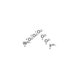 [Ir+4].[O-2].[O-2].[O-2].[O-2].[O-2].[W+6]